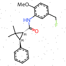 COc1ccc(CF)cc1NC(=O)[C@@H]1[C@@H](c2ccccc2)C1(C)C